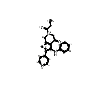 CC(C)(C)CC(=O)N1CC(=O)c2c([nH]c(-c3ccncc3)c2Nc2ccccc2)C1